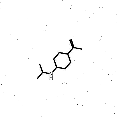 C=C(C)C1CCC(NC(C)C)CC1